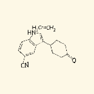 C=C.N#Cc1ccc2[nH]cc(C3CCC(=O)CC3)c2c1